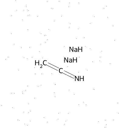 C=C=N.[NaH].[NaH]